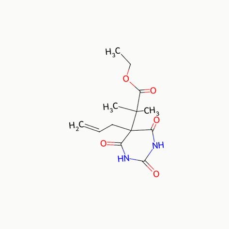 C=CCC1(C(C)(C)C(=O)OCC)C(=O)NC(=O)NC1=O